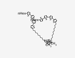 CCCCCCc1ccc(-c2ccc(-c3ccc(-c4ccc(CCCCCCCCCCC[Si](C)(C)O[Si](C)(C)CCCCCCCCCCCc5ccc(-c6ccc(-c7ccc(-c8ccc(CCCCCC)s8)s7)s6)s5)s4)s3)s2)s1